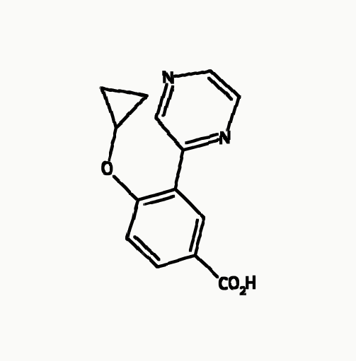 O=C(O)c1ccc(OC2CC2)c(-c2cnccn2)c1